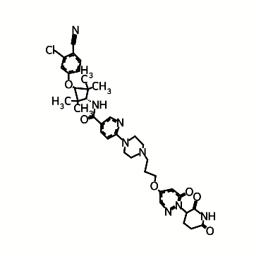 CC1(C)[C@H](NC(=O)c2ccc(N3CCN(CCCOc4cnn(C5CCC(=O)NC5=O)c(=O)c4)CC3)nc2)C(C)(C)[C@H]1Oc1ccc(C#N)c(Cl)c1